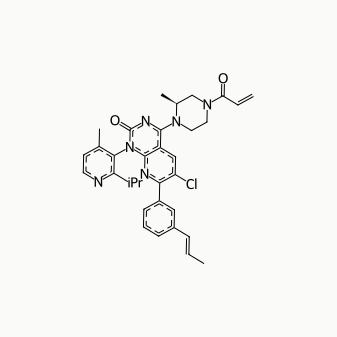 C=CC(=O)N1CCN(c2nc(=O)n(-c3c(C)ccnc3C(C)C)c3nc(-c4cccc(C=CC)c4)c(Cl)cc23)[C@@H](C)C1